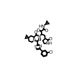 O=C(NC1CC1)C(=O)C(CC1CCNC1=O)NC(=O)C1CC2(CCN1C(=O)c1nc(-c3cccc(Cl)c3)cs1)CC2